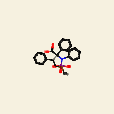 CSCC(c1ccccc1)[C@](C(=O)O)(c1ccccc1)N(c1ccccc1)P(=O)(O)O